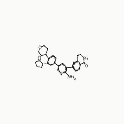 Nc1ncc(-c2ccc(C3CCOCC3)c([C@@H]3CCCN3)c2)cc1-c1ccc2c(c1)CCNC2=O